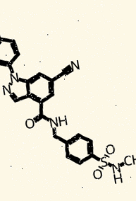 CNS(=O)(=O)c1ccc(CNC(=O)c2cc(C#N)cc3c2cnn3-c2ccc(F)cc2)cc1